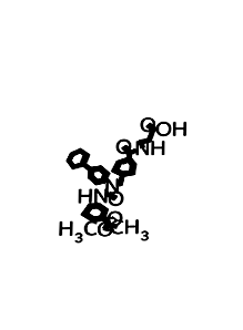 Cc1ccc(NC(=O)N(Cc2ccc(C(=O)NCCC(=O)O)cc2)c2ccc(C3=CCCCC3)cc2)cc1S(C)(=O)=O